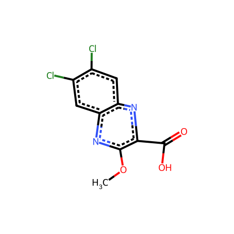 COc1nc2cc(Cl)c(Cl)cc2nc1C(=O)O